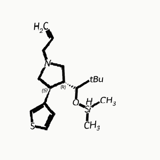 C=CCN1C[C@H](c2ccsc2)[C@@H](C(O[SiH](C)C)C(C)(C)C)C1